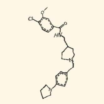 COc1cc(C(=O)NCC2CCN(Cc3ccc(N4CCCC4)cc3)CC2)ccc1Cl